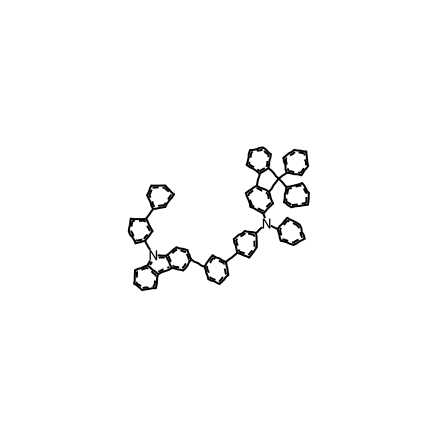 c1ccc(-c2cccc(-n3c4ccccc4c4cc(-c5cccc(-c6ccc(N(c7ccccc7)c7ccc8c(c7)C(c7ccccc7)(c7ccccc7)c7ccccc7-8)cc6)c5)ccc43)c2)cc1